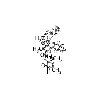 CSc1cc(C)[nH]c(=O)c1CNC(=O)c1cc(-c2ccc3occc3c2)c2c(c1C)OC(C)(C1CCN(CC(F)(F)F)CC1)O2